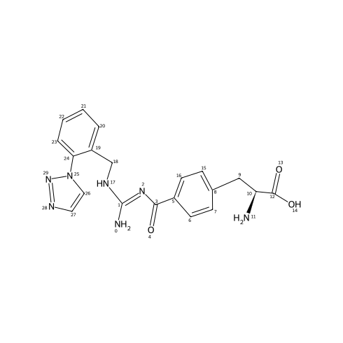 N/C(=N\C(=O)c1ccc(C[C@H](N)C(=O)O)cc1)NCc1ccccc1-n1ccnn1